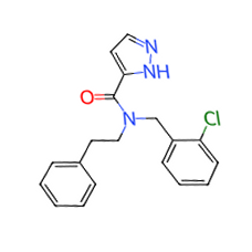 O=C(c1ccn[nH]1)N(CCc1ccccc1)Cc1ccccc1Cl